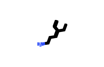 C=C/C(=C\CCN)CC